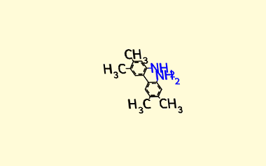 Cc1cc(N)c(-c2cc(C)c(C)cc2N)cc1C